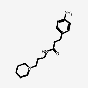 Nc1ccc(CCC(=O)NCCCN2CCCCC2)cc1